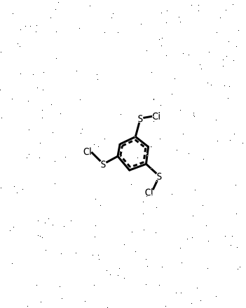 ClSc1[c]c(SCl)cc(SCl)c1